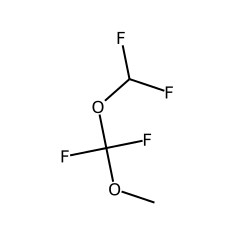 COC(F)(F)OC(F)F